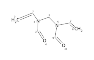 C=CN(C=O)CN(C=C)C=O